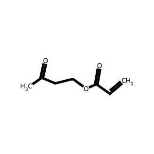 C=[C]C(=O)OCCC(C)=O